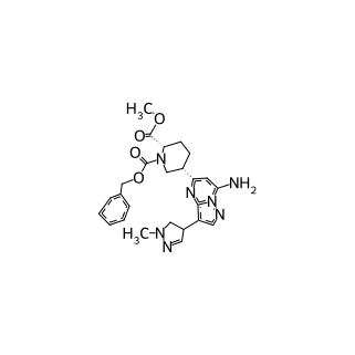 COC(=O)[C@@H]1CC[C@H](c2cc(N)n3ncc(C4C=NN(C)C4)c3n2)CN1C(=O)OCc1ccccc1